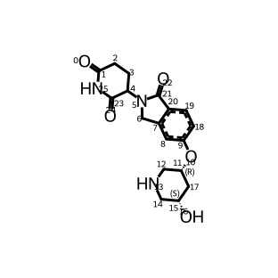 O=C1CCC(N2Cc3cc(O[C@H]4CNC[C@@H](O)C4)ccc3C2=O)C(=O)N1